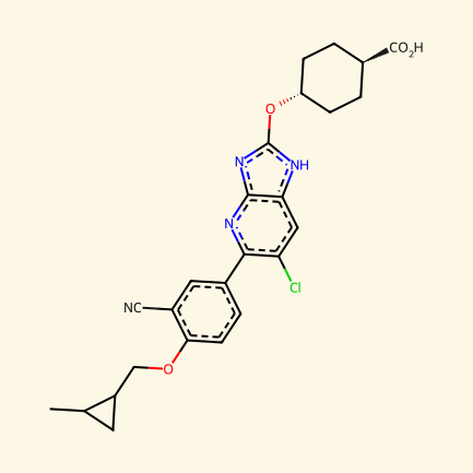 CC1CC1COc1ccc(-c2nc3nc(O[C@H]4CC[C@H](C(=O)O)CC4)[nH]c3cc2Cl)cc1C#N